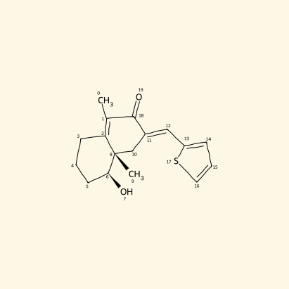 CC1=C2CCC[C@H](O)[C@@]2(C)CC(=Cc2cccs2)C1=O